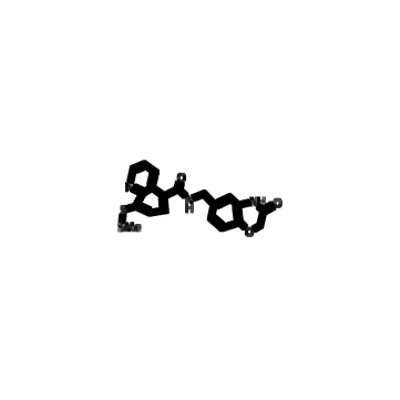 CSSc1ccc(C(=O)NCc2ccc3c(c2)NC(=O)CO3)c2cccnc12